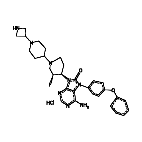 Cl.Nc1ncnc2c1n(-c1ccc(Oc3ccccc3)cc1)c(=O)n2[C@@H]1CCN(C2CCN(C3CNC3)CC2)C[C@@H]1F